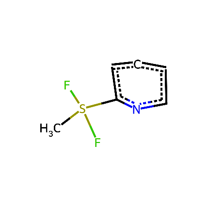 CS(F)(F)c1ccccn1